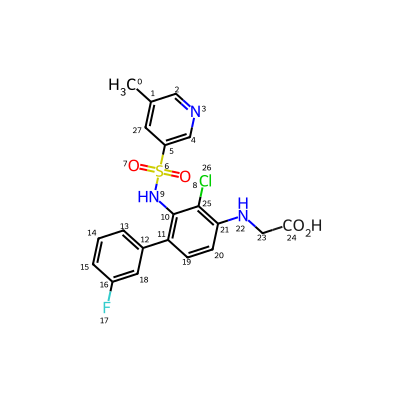 Cc1cncc(S(=O)(=O)Nc2c(-c3cccc(F)c3)ccc(NCC(=O)O)c2Cl)c1